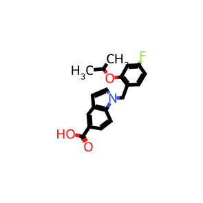 CC(C)Oc1cc(F)ccc1Cn1ccc2cc(C(=O)O)ccc21